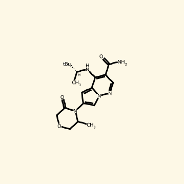 CC1COCC(=O)N1c1cc2c(N[C@H](C)C(C)(C)C)c(C(N)=O)cnn2c1